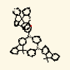 CC1(C)c2ccccc2-c2ccc(N(c3ccccc3)c3cccc(N(c4cccc(-c5cccc6c5C5(c7ccccc7Sc7ccccc75)c5ccccc5-6)c4)c4ccc5c(c4)C(C)(C)c4ccccc4-5)c3)cc21